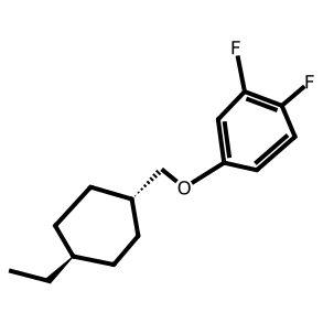 CC[C@H]1CC[C@H](COc2ccc(F)c(F)c2)CC1